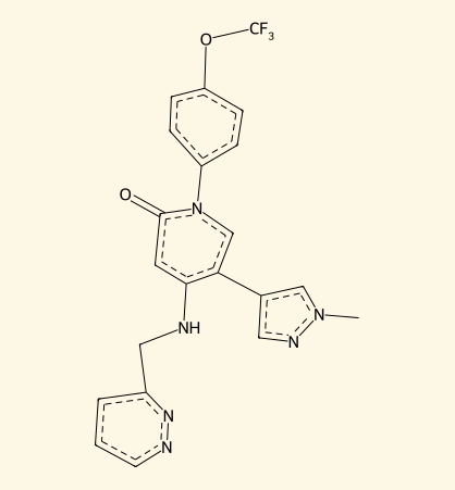 Cn1cc(-c2cn(-c3ccc(OC(F)(F)F)cc3)c(=O)cc2NCc2cccnn2)cn1